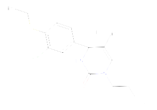 CC(C)CSc1ccc([C@]2(C)NC(=O)N(CCC(=O)O)C=C2C(C)C)cc1Cl